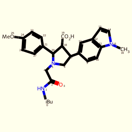 CCC(C)NC(=O)CN1CC(c2ccc3c(ccn3C)c2)C(C(=O)O)C1c1ccc(OC)cc1